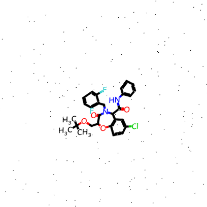 CC(C)(C)OCC1Oc2ccc(Cl)cc2C(C(=O)Nc2ccccc2)N(Cc2c(F)cccc2F)C1=O